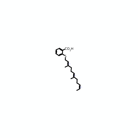 C/C=C\CC/C(C)=C/CC/C(C)=C/CSc1ccccc1C(=O)O